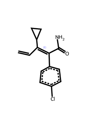 C=C/C(=C(/C(N)=O)c1ccc(Cl)cc1)C1CC1